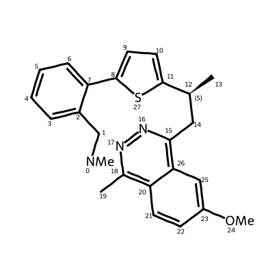 CNCc1ccccc1-c1ccc([C@@H](C)Cc2nnc(C)c3ccc(OC)cc23)s1